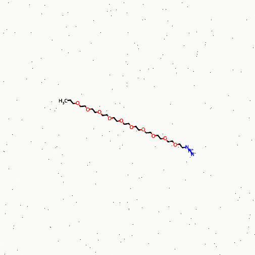 CCCOCCOCCOCCOCCOCCOCCOCCOCCOCCOCCN=[N+]=[N-]